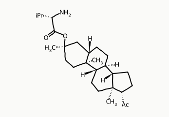 CC(=O)[C@H]1CC[C@H]2[C@@H]3CC[C@H]4C[C@](C)(OC(=O)[C@@H](N)C(C)C)CC[C@]4(C)[C@H]3CC[C@]12C